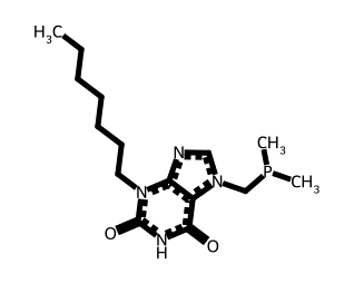 CCCCCCCn1c(=O)[nH]c(=O)c2c1ncn2CP(C)C